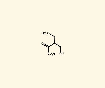 O=C(O)CC(CO)C(=O)C(=O)O